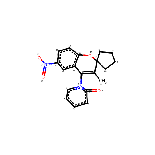 CC1=C(n2ccccc2=O)c2cc([N+](=O)[O-])ccc2OC12CCCC2